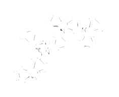 c1ccc(-c2nc(-c3cccc(-n4c5ccccc5c5ccc(-n6c7ccccc7c7ccccc76)cc54)c3)nc(-c3ccc4sc5ccccc5c4c3)n2)cc1